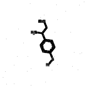 CCSc1ccc(C(N)COC)cc1